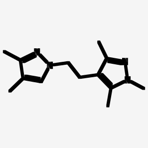 Cc1cn(CCc2c(C)nn(C)c2C)nc1C